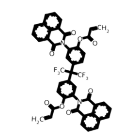 C=CC(=O)Oc1ccc(C(c2ccc(OC(=O)C=C)c(N3C(=O)c4cccc5cccc(c45)C3=O)c2)(C(F)(F)F)C(F)(F)F)cc1N1C(=O)c2cccc3cccc(c23)C1=O